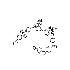 CCC(C)(C)c1ccc(S(=O)(=O)c2ccc(Oc3ccc(-c4ccc(Oc5ccc(C(=O)c6ccc(Oc7ccc(OC)cc7)cc6)cc5)c(S(=O)(=O)O)c4)cc3S(=O)(=O)O)cc2)cc1